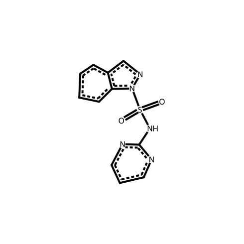 O=S(=O)(Nc1ncccn1)n1ncc2ccccc21